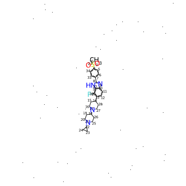 CS(=O)(=O)c1ccc(-c2nc3ccc(C4CCN(C5CCN(C6CC6)CC5)CC4)c(F)c3[nH]2)cc1